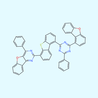 c1ccc(-c2nc(-c3cccc4oc5ccccc5c34)nc(-c3cccc4sc5c(-c6nc(-c7ccccc7)c7oc8ccccc8c7n6)cccc5c34)n2)cc1